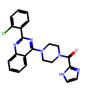 O=C(c1ncc[nH]1)N1CCN(c2nc(-c3ccccc3Cl)nc3ccccc23)CC1